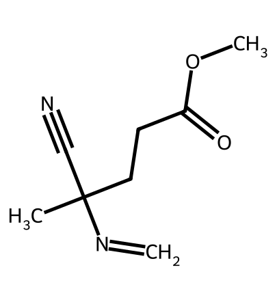 C=NC(C)(C#N)CCC(=O)OC